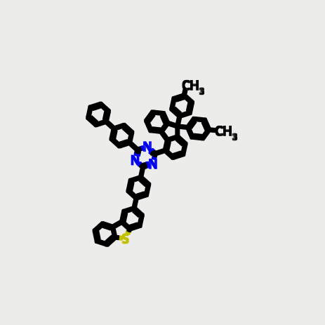 Cc1ccc(C2(c3ccc(C)cc3)c3ccccc3-c3c(-c4nc(-c5ccc(-c6ccccc6)cc5)nc(-c5ccc(-c6ccc7sc8ccccc8c7c6)cc5)n4)cccc32)cc1